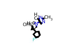 Cc1ncc(N(C)C[C@@]2(C3C=CC=C(F)C3)C[C@H]2C=O)c(C)n1